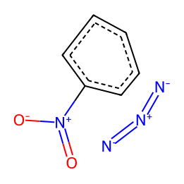 O=[N+]([O-])c1ccccc1.[N-]=[N+]=[N-]